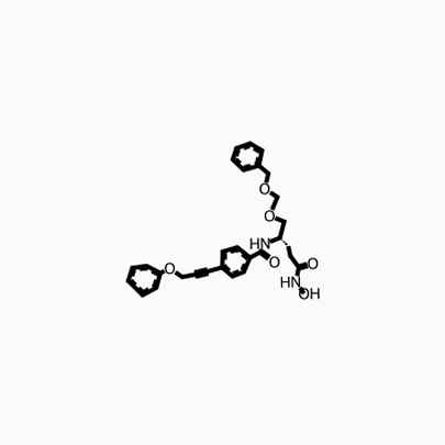 O=C(CC[C@@H](COCOCc1ccccc1)NC(=O)c1ccc(C#CCOc2ccccc2)cc1)NO